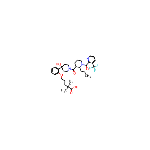 CCCC1C(C(=O)N2CCC(O)(c3ccccc3OCCCC(C)(C)C(=O)O)CC2)CCCN1C(=O)c1ncccc1C(F)(F)F